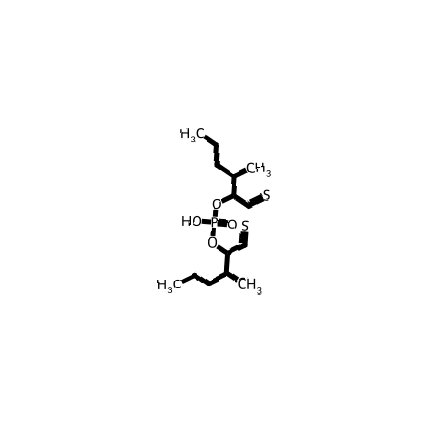 CCCC(C)C(C=S)OP(=O)(O)OC(C=S)C(C)CCC